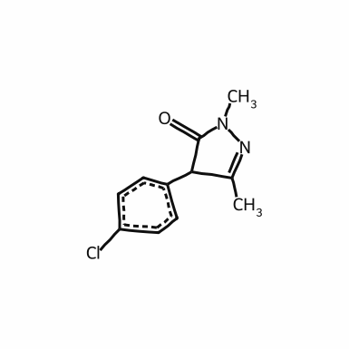 CC1=NN(C)C(=O)C1c1ccc(Cl)cc1